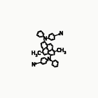 Cc1cc2c(N(c3ccccc3)c3ccc(C#N)cc3)cc(C)c3ccc4c(N(c5ccccc5)c5ccc(C#N)cc5)ccc1c4c32